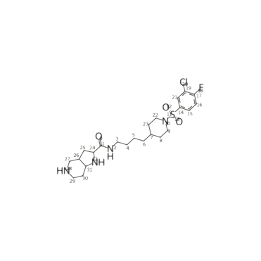 O=C(NCCCCC1CCN(S(=O)(=O)c2ccc(F)c(Cl)c2)CC1)C1CC2CNCCC2N1